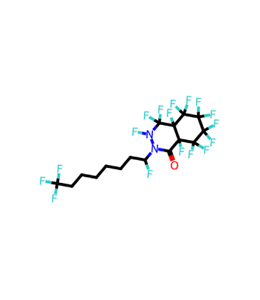 O=C1N(C(F)CCCCCCC(F)(F)F)N(F)C(F)(F)C2(F)C(F)(F)C(F)(F)C(F)(F)C(F)(F)C12F